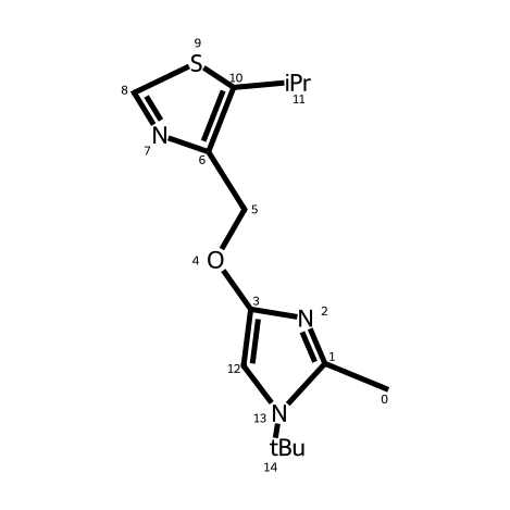 Cc1nc(OCc2ncsc2C(C)C)cn1C(C)(C)C